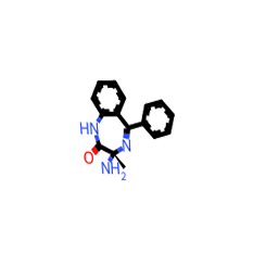 C[C@]1(N)N=C(c2ccccc2)c2ccccc2NC1=O